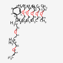 CCOCC.CCOCC.CCOCC.CCOCC.CCOCC.CCOCC.CCOCC.Cc1ccccc1